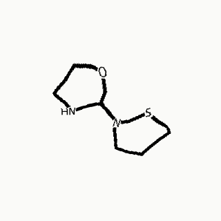 C1CSN([C]2NCCO2)C1